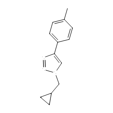 Cc1ccc(-c2cn(CC3CC3)nn2)cc1